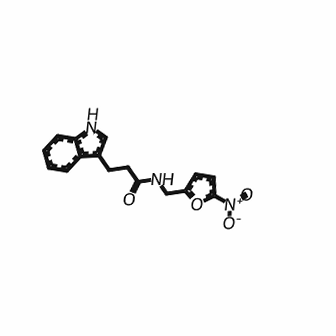 O=C(CCc1c[nH]c2ccccc12)NCc1ccc([N+](=O)[O-])o1